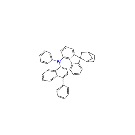 c1ccc(-c2ccc(N(c3ccccc3)c3cccc4c3-c3ccccc3C43CC4CCC3C4)c3ccccc23)cc1